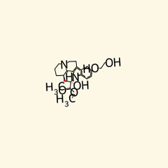 CC[C@]12CCCN3CCc4c(n(c5ccccc45)[C@@](O)(C(=O)OC)C1)[C@@H]32.OCCO